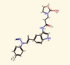 C=NN(/C=C(\C)c1ccc2[nH]cc(NC(=O)CCN3CCOC3O)c2c1)c1ccc(C(F)(F)F)cc1